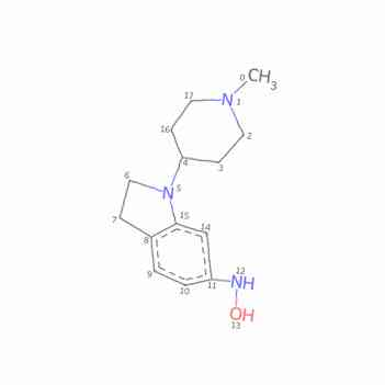 CN1CCC(N2CCc3ccc(NO)cc32)CC1